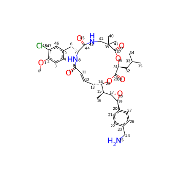 COc1ccc(C[C@H]2NC(=O)/C=C/C[C@@H]([C@H](C)[C@@H]3O[C@H]3c3ccc(CN)cc3)OC(=O)[C@H](CC(C)C)OC(=O)C(C)(C)CNC2=O)cc1Cl